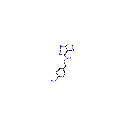 Nc1ccc(CCNc2ncnc3scnc23)cc1